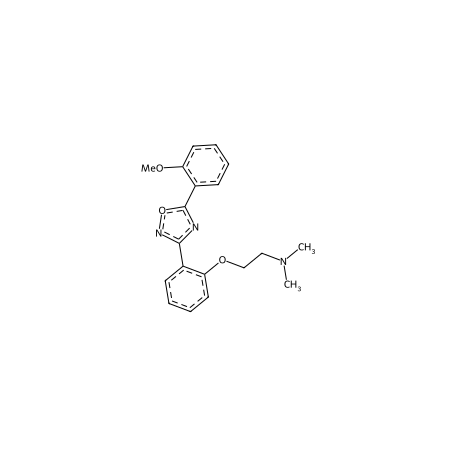 COc1ccccc1-c1nc(-c2ccccc2OCCN(C)C)no1